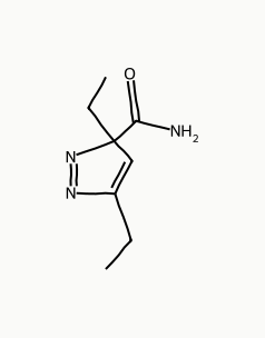 CCC1=CC(CC)(C(N)=O)N=N1